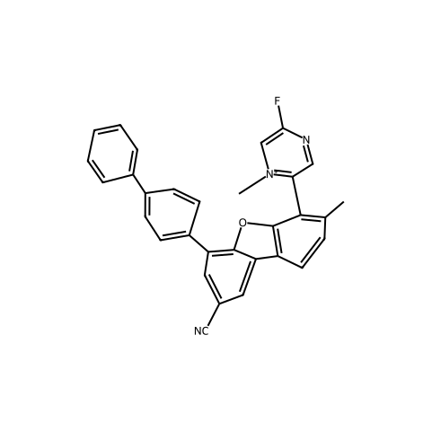 Cc1ccc2c(oc3c(-c4ccc(-c5ccccc5)cc4)cc(C#N)cc32)c1-c1cnc(F)c[n+]1C